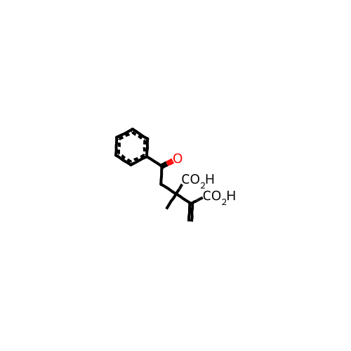 C=C(C(=O)O)C(C)(CC(=O)c1ccccc1)C(=O)O